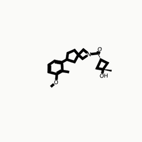 COc1cccc(C2CCC3(C2)CN(C(=O)[C@H]2C[C@@](C)(O)C2)C3)c1C